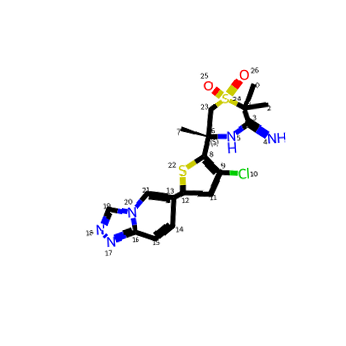 CC1(C)C(=N)N[C@](C)(C2=C(Cl)CC(c3ccc4nncn4c3)S2)CS1(=O)=O